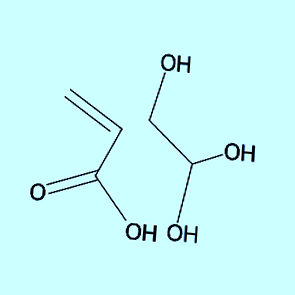 C=CC(=O)O.OCC(O)O